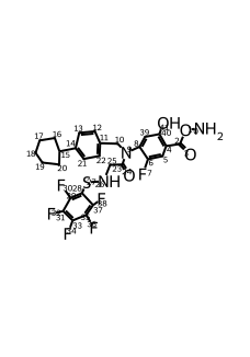 NOC(=O)c1cc(F)c(N(Cc2ccc(C3CCCCC3)cc2)C(=O)CNSc2c(F)c(F)c(F)c(F)c2F)cc1O